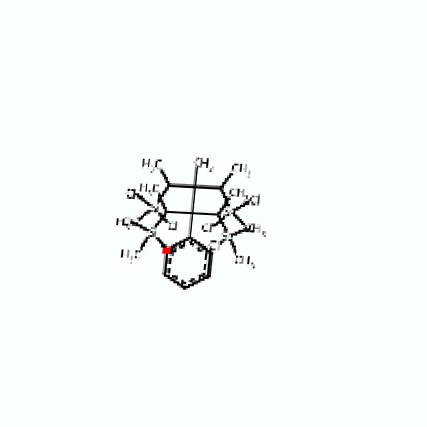 CC(C(C)(C(C)[Si](C)(Cl)Cl)C(c1ccccc1)(C(C)[Si](C)(Cl)Cl)C(C)[Si](C)(Cl)Cl)[Si](C)(Cl)Cl